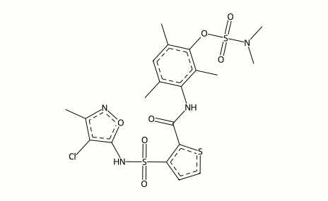 Cc1cc(C)c(OS(=O)(=O)N(C)C)c(C)c1NC(=O)c1sccc1S(=O)(=O)Nc1onc(C)c1Cl